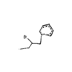 [CH2]CC(Br)Cc1ccccc1